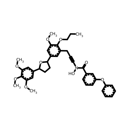 CCCOc1c(CC#CN(O)C(=O)c2cccc(Oc3ccccc3)c2)cc(C2CCC(c3cc(OC)c(OC)c(OC)c3)O2)cc1OC